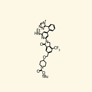 CCNc1cc(-c2ccccc2-c2nncn2C)cc(N2Cc3c(cc(COC4CCN(C(=O)OC(C)(C)C)CC4)cc3C(F)(F)F)C2=O)n1